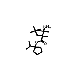 CC(C)C1(OC(=O)C(C)(CC(C)(C)C)C(C)(C)N)CCCC1